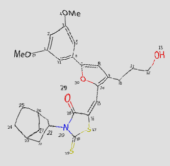 COc1cc(OC)cc(-c2cc(CCCO)c(/C=C3/SC(=S)N(C4CC5CCC4C5)C3=O)o2)c1